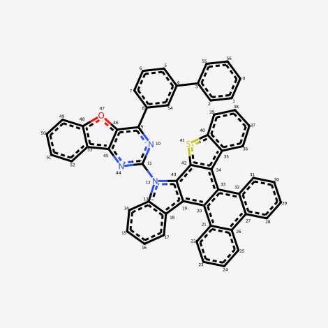 c1ccc(-c2cccc(-c3nc(-n4c5ccccc5c5c6c7ccccc7c7ccccc7c6c6c7ccccc7sc6c54)nc4c3oc3ccccc34)c2)cc1